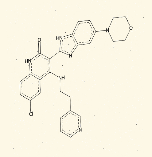 O=c1[nH]c2ccc(Cl)cc2c(NCCc2cccnc2)c1-c1nc2cc(N3CCOCC3)ccc2[nH]1